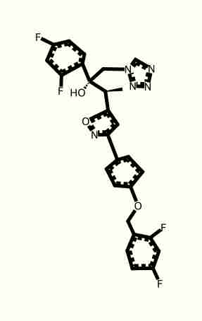 C[C@@H](c1cc(-c2ccc(OCc3ccc(F)cc3F)cc2)no1)[C@](O)(Cn1cnnn1)c1ccc(F)cc1F